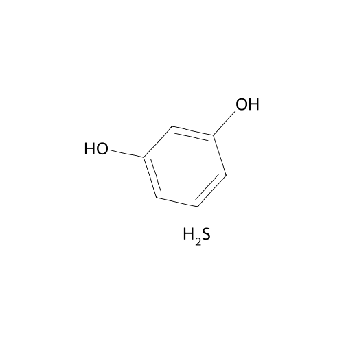 Oc1cccc(O)c1.S